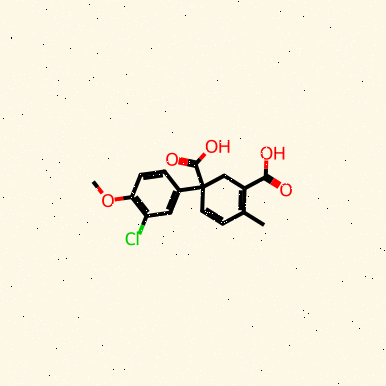 COc1ccc(C2(C(=O)O)C=CC(C)=C(C(=O)O)C2)cc1Cl